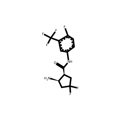 N[C@@H]1CC(F)(F)C[C@@H]1C(=O)Nc1ccc(F)c(C(F)(F)F)c1